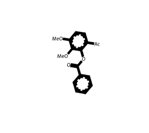 COc1ccc(C(C)=O)c(OC(=O)c2ccccc2)c1OC